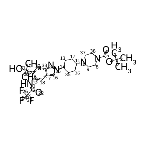 CC(C)(C)OC(=O)N1CCN([C@H]2CC[C@H](n3cc4cc(NC(=O)C(F)(F)F)c(C(C)(C)O)cc4n3)CC2)CC1